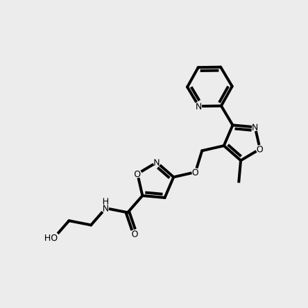 Cc1onc(-c2ccccn2)c1COc1cc(C(=O)NCCO)on1